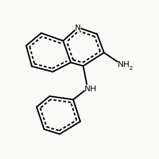 Nc1cnc2ccccc2c1Nc1ccccc1